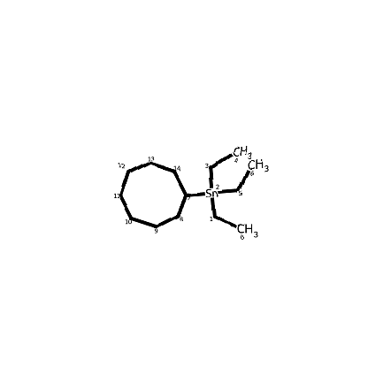 C[CH2][Sn]([CH2]C)([CH2]C)[CH]1CCCCCCC1